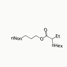 CCCCCCCCCCCCOC(=O)C(CC)CCCCCC